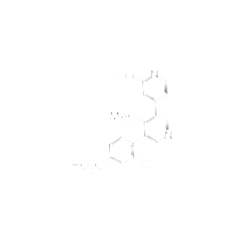 COc1c(-c2ccnc(C(C)(C)C)c2)cncc1-c1ccc(C(=O)O)cc1Cl